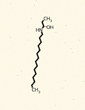 CCCCCCCCCCCCCCCN[C@@H](O)CC